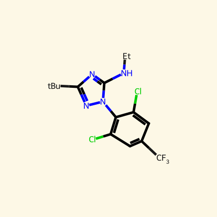 CCNc1nc(C(C)(C)C)nn1-c1c(Cl)cc(C(F)(F)F)cc1Cl